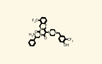 Cc1c(N2CCN(Cc3ccc(O)c(C(F)(F)F)c3)CC2)c(=O)n(CC(N)c2ccccc2)c(=O)n1Cc1c(F)cccc1C(F)(F)F